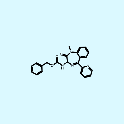 CN1C(=O)[C@H](NC(=O)OCc2ccccc2)N=C(c2ccccn2)c2ccccc21